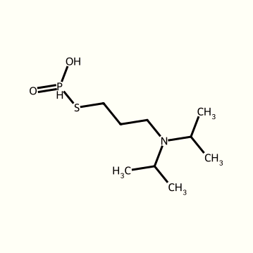 CC(C)N(CCCS[PH](=O)O)C(C)C